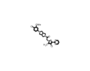 COc1cc(N2CC3CN(C(=O)Cn4nc(-c5ncccn5)c(Cl)c4C)CC3C2)ccc1Cl